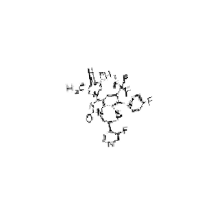 C[C@@H]1CN(c2nc(=O)n3c4c(c(-c5ccc(F)cc5)c(C(F)(F)F)cc24)SC[C@@H](c2ccncc2F)C3)C[C@H](C)N1